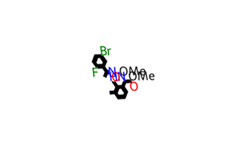 CONC(C(=O)OC)c1cccc(C)c1CO/N=C(\C)c1cc(Br)ccc1F